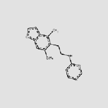 COc1cc2occc2c(C)c1CCNc1ccncn1